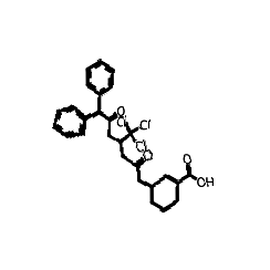 O=C(CC1CCCC(C(=O)O)C1)CC(CC(=O)C(c1ccccc1)c1ccccc1)C(Cl)(Cl)Cl